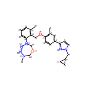 Cc1cc(-c2ccn(CC3CC3)n2)ccc1OCc1c(C)cccc1N1COCN(C)N=N1